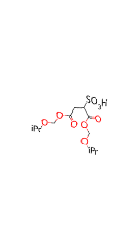 CC(C)OCOC(=O)CC(C(=O)OCOC(C)C)S(=O)(=O)O